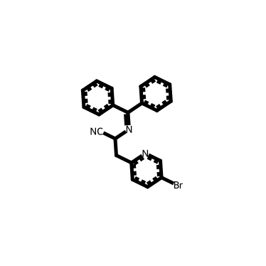 N#CC(Cc1ccc(Br)cn1)N=C(c1ccccc1)c1ccccc1